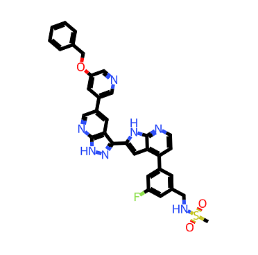 CS(=O)(=O)NCc1cc(F)cc(-c2ccnc3[nH]c(-c4n[nH]c5ncc(-c6cncc(OCc7ccccc7)c6)cc45)cc23)c1